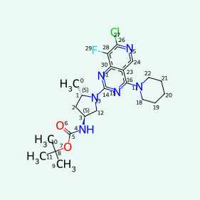 C[C@H]1C[C@H](NC(=O)OC(C)(C)C)CN1c1nc(N2CCCCC2)c2cnc(Cl)c(F)c2n1